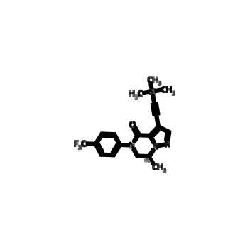 C[C@H]1CN(c2ccc(C(F)(F)F)cc2)C(=O)c2c(C#C[Si](C)(C)C)cnn21